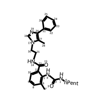 CCCCCNC(=O)Nc1c(C)cccc1C(=O)NCCn1cnc(-c2ccccc2)c1C